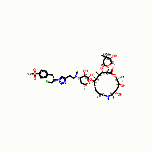 CCCS(=O)(=O)c1ccc(C[C@@H](CF)n2cc(CCN(C)[C@H]3C[C@@H](C)O[C@@H](O[C@@H]4[C@@H](C)[C@H](O[C@H]5C[C@@](C)(OC)[C@@H](O)[C@H](C)O5)[C@@H](C)C(=O)O[C@H](CC)[C@@](C)(O)C[C@H](O)[C@@H](C)N(C)C[C@H](C)CC[C@@]4(C)O)[C@@H]3O)nn2)cc1